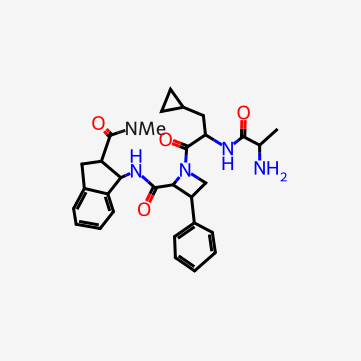 CNC(=O)C1Cc2ccccc2C1NC(=O)C1C(c2ccccc2)CN1C(=O)C(CC1CC1)NC(=O)C(C)N